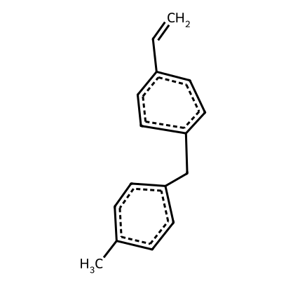 C=Cc1ccc(Cc2ccc(C)cc2)cc1